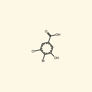 O=C(O)c1cc(O)c(Br)c(Cl)c1